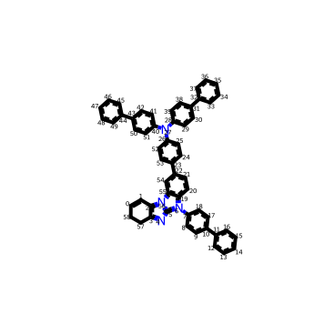 C1=Cc2c(nc3n(-c4ccc(-c5ccccc5)cc4)c4ccc(-c5ccc(N(c6ccc(-c7ccccc7)cc6)c6ccc(-c7ccccc7)cc6)cc5)cc4n23)CC1